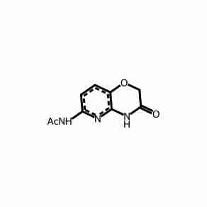 CC(=O)Nc1ccc2c(n1)NC(=O)CO2